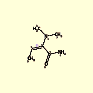 C/C=C(\C(N)=O)N(C)C